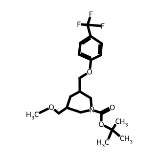 COCC1CC(COc2ccc(C(F)(F)F)cc2)CN(C(=O)OC(C)(C)C)C1